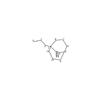 CCCC12BC(CCC1)CCC2